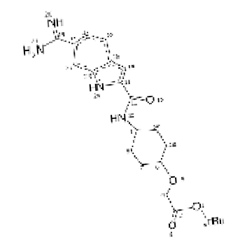 CC(C)(C)OC(=O)COC1CCC(NC(=O)c2cc3ccc(C(=N)N)cc3[nH]2)CC1